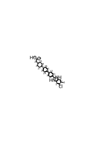 Cc1cc2c(cc1Cl)NC(c1ccc(-c3ccc([C@H]4CC[C@H](CC(=O)O)CC4)cc3)cc1)N2